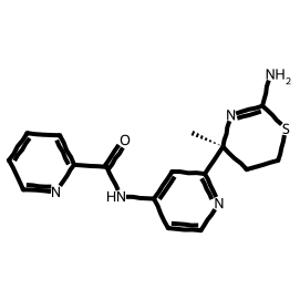 C[C@@]1(c2cc(NC(=O)c3ccccn3)ccn2)CCSC(N)=N1